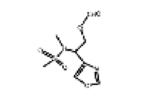 CN(C(COC=O)c1cocn1)S(C)(=O)=O